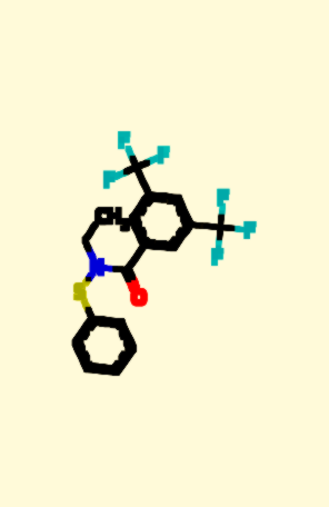 CCN(Sc1ccccc1)C(=O)c1cc(C(F)(F)F)cc(C(F)(F)F)c1